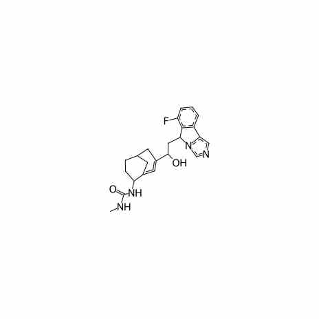 CNC(=O)NC1CCC2CC(C(O)CC3c4c(F)cccc4-c4cncn43)=C=C1C2